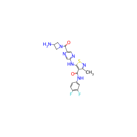 Cc1nsc(Nc2cnc(C(=O)N3CC(N)C3)cn2)c1C(=O)Nc1ccc(F)c(F)c1